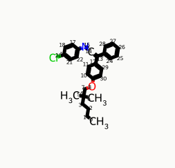 CCCCC(C)(C)COc1ccc(C(=C=Nc2ccc(Cl)cc2)c2ccccc2)cc1